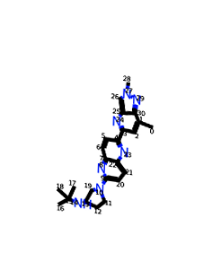 Cc1cc(-c2ccc3nc(N4CCC(NC(C)(C)C)C4)ccc3n2)nc2cn(C)nc12